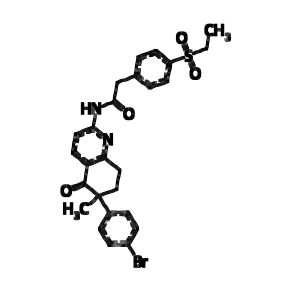 CCS(=O)(=O)c1ccc(CC(=O)Nc2ccc3c(n2)CCC(C)(c2ccc(Br)cc2)C3=O)cc1